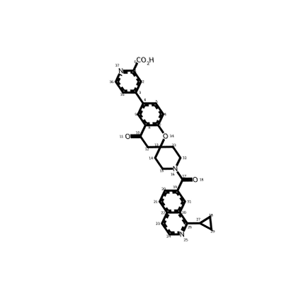 O=C(O)c1cc(-c2ccc3c(c2)C(=O)CC2(CCN(C(=O)c4ccc5ccnc(C6CC6)c5c4)CC2)O3)ccn1